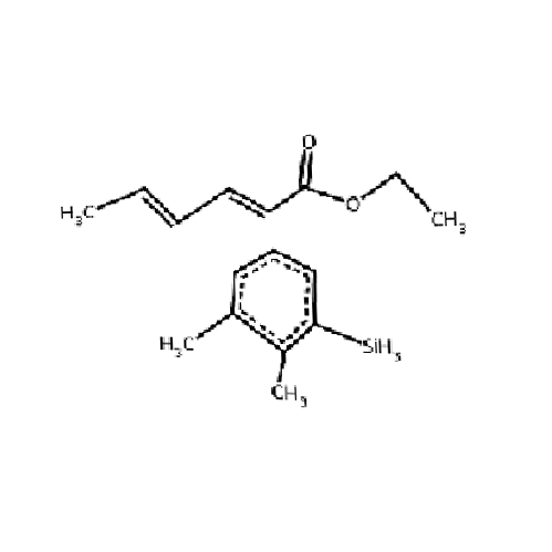 C/C=C/C=C/C(=O)OCC.Cc1cccc([SiH3])c1C